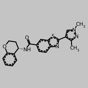 Cc1nn(C)cc1-c1nc2ccc(C(=O)N[C@H]3CCOc4ccccc43)cc2s1